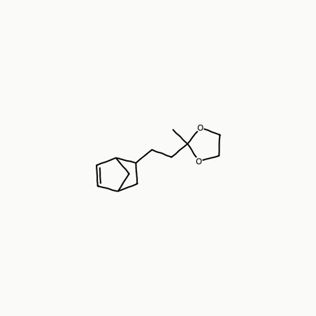 CC1(CCC2CC3C=CC2C3)OCCO1